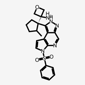 CC1CCC[C@]1(c1[nH]nc2cnc3c(ccn3S(=O)(=O)c3ccccc3)c12)C1(N)COC1